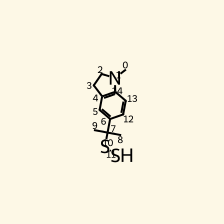 CN1CCc2cc(C(C)(C)SS)ccc21